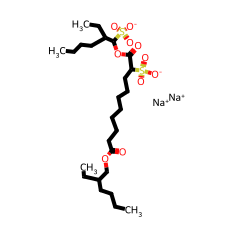 CCCCC(CC)COC(=O)CCCCCCCC(C(=O)OC(C(CC)CCCC)S(=O)(=O)[O-])S(=O)(=O)[O-].[Na+].[Na+]